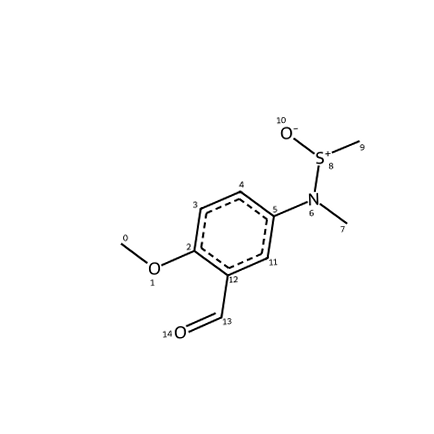 COc1ccc(N(C)[S+](C)[O-])cc1C=O